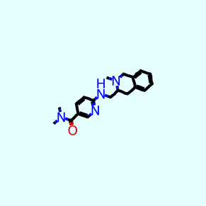 CN(C)C(=O)c1ccc(NCC2Cc3ccccc3CN2C)nc1